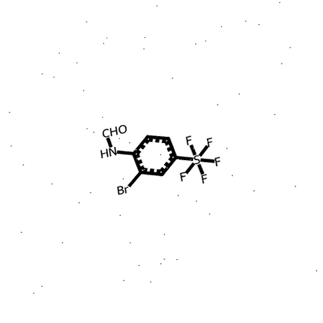 O=CNc1ccc(S(F)(F)(F)(F)F)cc1Br